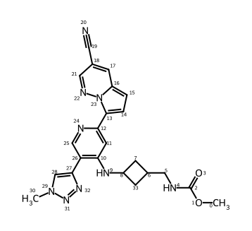 COC(=O)NCC1CC(Nc2cc(-c3ccc4cc(C#N)cnn34)ncc2-c2cn(C)nn2)C1